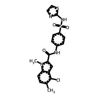 Cc1ccc2c(cc(C(=O)Nc3ccc(S(=O)(=O)Nc4nccs4)cc3)n2C)c1Cl